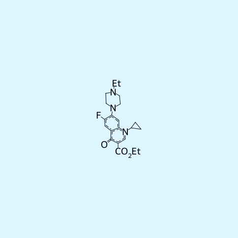 CCOC(=O)c1cn(C2CC2)c2cc(N3CCN(CC)CC3)c(F)cc2c1=O